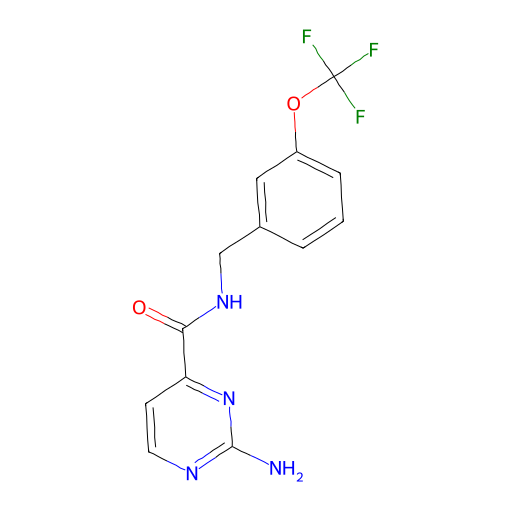 Nc1nccc(C(=O)NCc2cccc(OC(F)(F)F)c2)n1